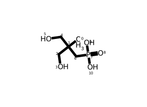 CC(CO)(CO)CP(=O)(O)O